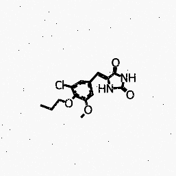 CCCOc1c(Cl)cc(/C=C2\NC(=O)NC2=O)cc1OC